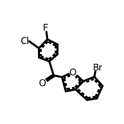 O=C(c1ccc(F)c(Cl)c1)c1cc2cccc(Br)c2o1